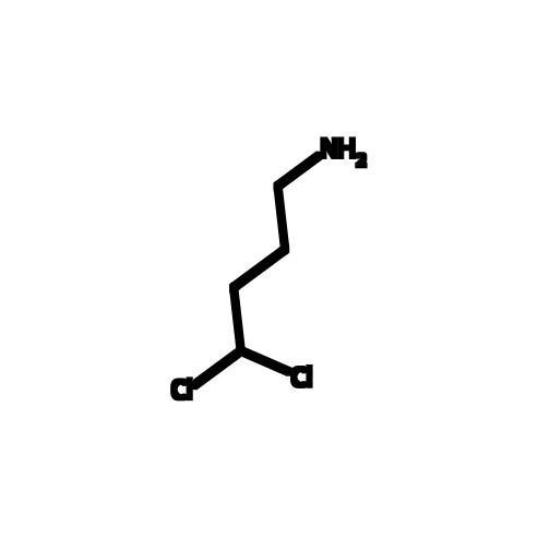 NCCCC(Cl)Cl